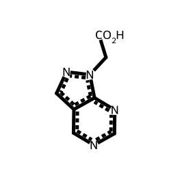 O=C(O)Cn1ncc2cncnc21